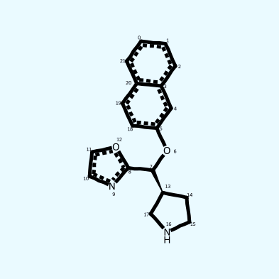 c1ccc2cc(OC(c3ncco3)[C@H]3CCNC3)ccc2c1